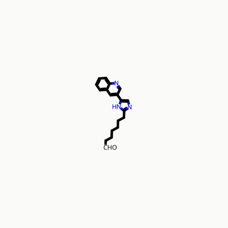 O=CCCCCCCc1ncc(-c2cnc3ccccc3c2)[nH]1